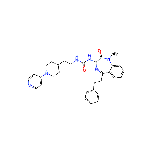 CCCN1C(=O)C(NC(=O)NCCC2CCN(c3ccncc3)CC2)N=C(CCc2ccccc2)c2ccccc21